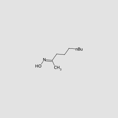 CCCCCCC/C(C)=N/O